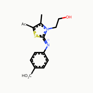 CC(=O)c1s/c(=N\c2ccc(C(=O)O)cc2)n(CCO)c1C